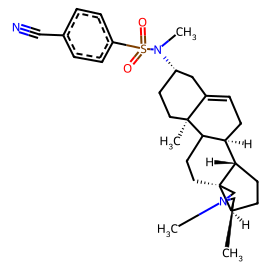 C[C@H]1[C@H]2CC[C@H]3[C@@H]4CC=C5C[C@@H](N(C)S(=O)(=O)c6ccc(C#N)cc6)CC[C@]5(C)C4CC[C@]23CN1C